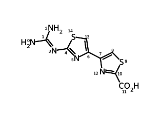 NC(N)=Nc1nc(-c2csc(C(=O)O)n2)cs1